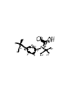 CC(C)(C)c1ccc(N(C(=O)O)C(C)(C)C)s1